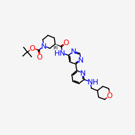 CC(C)(C)OC(=O)N1CCC[C@@H](C(=O)Nc2cc(-c3cccc(NCC4CCOCC4)n3)ncn2)C1